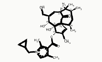 CC1=C[C@]23C(=O)[C@@H](C=C(CO)[C@@H](O)[C@]2(O)[C@H]1OC(=O)c1c(C)cn(CC2CC2)c1C)C(C)(C)[C@@H](C)C[C@H]3C